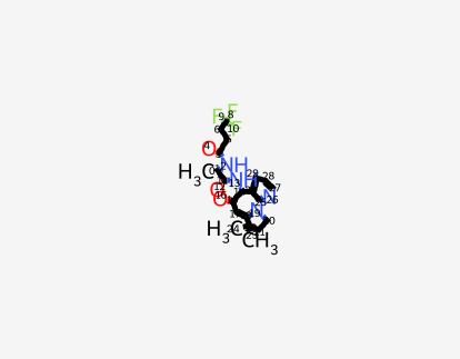 C[C@H](NC(=O)CCC(F)(F)F)C(=O)N[C@@H]1C(=O)C=C2N(CCC2(C)C)c2ncccc21